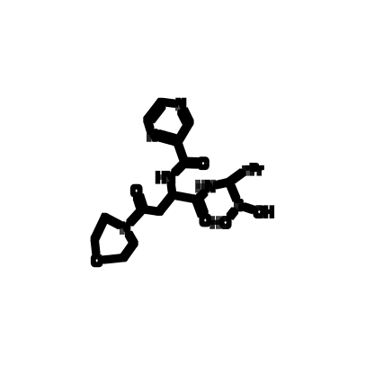 CCCC(NC(=O)C(CC(=O)N1CCOCC1)NC(=O)c1cnccn1)B(O)O